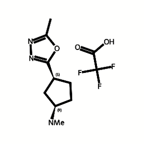 CN[C@@H]1CC[C@H](c2nnc(C)o2)C1.O=C(O)C(F)(F)F